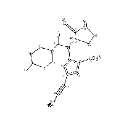 CC1CCC(C(=O)N(c2cc(C#CC(C)(C)C)sc2C(=O)O)[C@H]2CCNC2=O)CC1